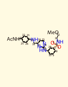 COCCNS(=O)(=O)c1cccc(Nc2nccc(CNc3ccc(NC(C)=O)cc3)n2)c1